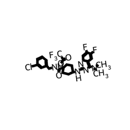 CN(C)c1nc(NC2CCC(OC(=O)C(F)(F)F)(C(=O)NCc3cccc(Cl)c3)CC2)nc2cc(F)c(F)cc12